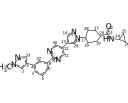 Cn1cc(-c2cccc(-c3ncc(-c4cnn(C5CCC(C(=O)NC6CC6)CC5)c4)cn3)c2)cn1